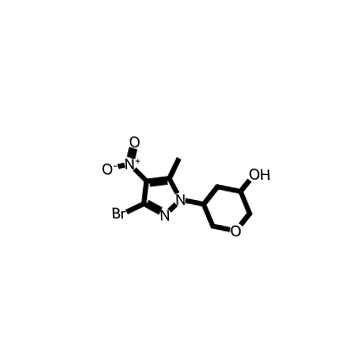 Cc1c([N+](=O)[O-])c(Br)nn1C1COCC(O)C1